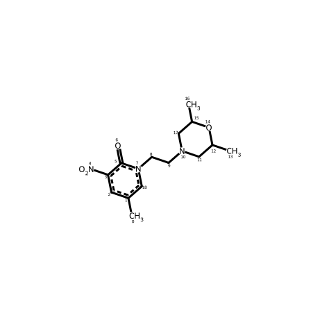 Cc1cc([N+](=O)[O-])c(=O)n(CCN2CC(C)OC(C)C2)c1